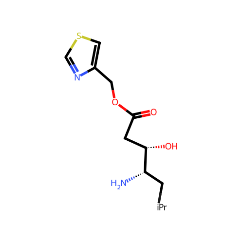 CC(C)C[C@H](N)[C@@H](O)CC(=O)OCc1cscn1